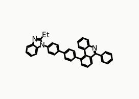 CCc1nc2ccccc2n1-c1ccc(-c2ccc(-c3cccc4c(-c5ccccc5)nc5ccccc5c34)cc2)cc1